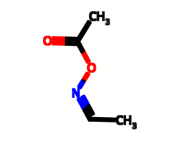 C/C=N\OC(C)=O